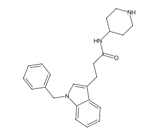 O=C(CCc1cn(Cc2ccccc2)c2ccccc12)NC1CCNCC1